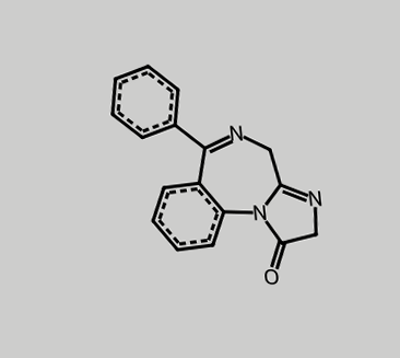 O=C1CN=C2CN=C(c3ccccc3)c3ccccc3N12